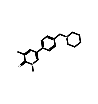 Cc1cc(-c2ccc(CN3CCCCC3)cc2)cn(C)c1=O